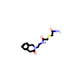 NC(=O)CSCC(=O)NCCN1Cc2ccccc2CC1=O